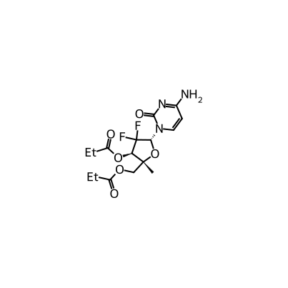 CCC(=O)OC[C@@]1(C)O[C@@H](n2ccc(N)nc2=O)C(F)(F)[C@@H]1OC(=O)CC